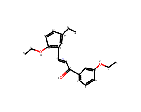 CCOc1cccc(C(=O)/C=C/c2cc(CC)ccc2OCC)c1